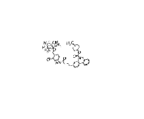 CN1CCC(OC(=O)Nc2cc(CCCC(=O)Nc3ccc(CO[Si](C)(C)C(C)(C)C)c(Cl)c3)ccc2-c2ccccc2)CC1